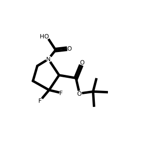 CC(C)(C)OC(=O)C1N(C(=O)O)CCC1(F)F